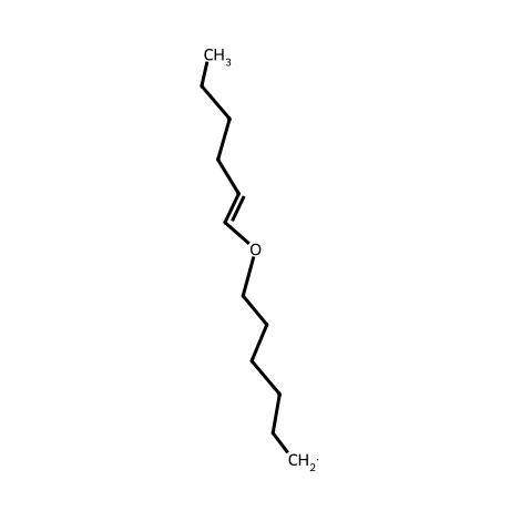 [CH2]CCCCCO/C=C/CCCC